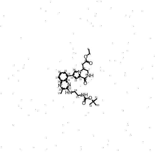 CCOC(=O)CC1CNC(=O)c2cc(-c3cccc4nc(C)c(NCCNC(=O)OC(C)(C)C)nc34)cn21